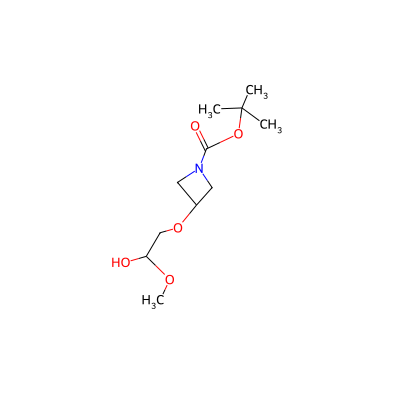 COC(O)COC1CN(C(=O)OC(C)(C)C)C1